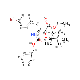 CCOC(=O)[C@@H](O[Si](C)(C)C(C)(C)C)[C@@H](Cc1ccc(Br)cc1)NC(=O)OCc1ccccc1